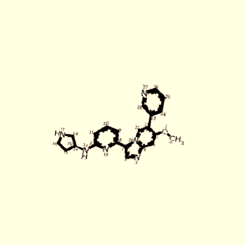 COc1cc2ncc(-c3cccc(N[C@H]4CCNC4)n3)n2cc1-c1cccnc1